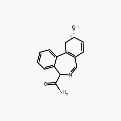 NC(=O)C1N=CC2=C(C[C@H](O)C=C2)c2ccccc21